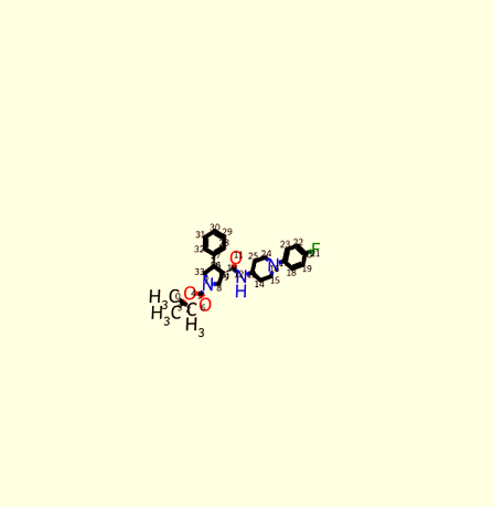 CC(C)(C)OC(=O)N1C[C@@H](C(=O)NC2CCN(c3ccc(F)cc3)CC2)[C@H](c2ccccc2)C1